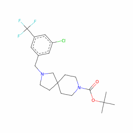 CC(C)(C)OC(=O)N1CCC2(CCN(Cc3cc(Cl)cc(C(F)(F)F)c3)C2)CC1